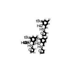 Cc1cc(CNC2CCCO2)c(O)c(C(C)(C)C)c1.Cc1cc(CNC2CCCO2)c(O)c(C(C)(C)C)c1.Cc1cc(CNC2CCCO2)c(O)c(C(C)(C)C)c1.Cl.[Mn]